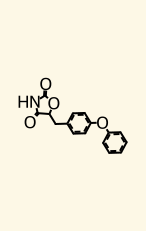 O=C1NC(=O)C(Cc2ccc(Oc3ccccc3)cc2)O1